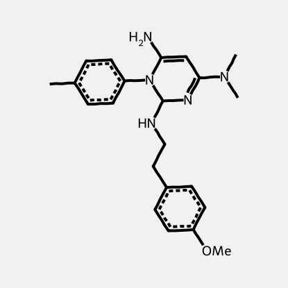 COc1ccc(CCNC2N=C(N(C)C)C=C(N)N2c2ccc(C)cc2)cc1